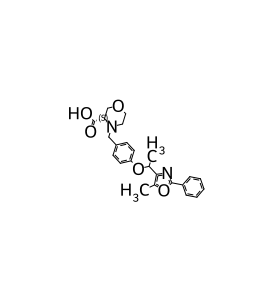 Cc1oc(-c2ccccc2)nc1C(C)Oc1ccc(CN2CCOC[C@H]2C(=O)O)cc1